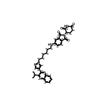 CC(C)c1nc2ccccc2nc1-c1cnn(CCCCCCNc2ccc3c(c2)C(=O)N(C2CCC(=O)NC2=O)C3=O)c1